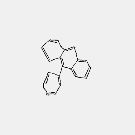 [c]1c2ccccc2c(-c2ccncc2)c2ccccc12